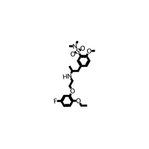 CCOc1ccc(F)cc1OCCNC(C)Cc1ccc(OC)c(S(=O)(=O)N(C)C)c1